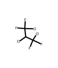 FC(F)(Cl)[C](Cl)C(F)(F)Cl